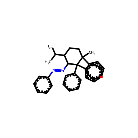 CC(C)C1CCC(C)(c2ccccc2)C(c2ccccc2)(c2ccccc2)C1N=Nc1ccccc1